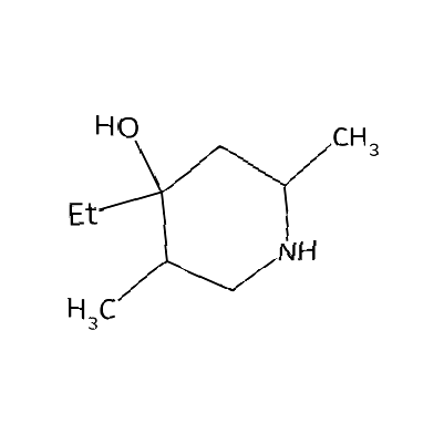 CCC1(O)CC(C)NCC1C